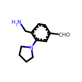 NCc1ccc(C=O)cc1N1CCCC1